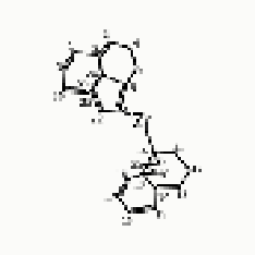 C1=CC2=CCCC3=[C]([Zr][C]4=C5CCC=C6C=CC=CC65C=C4)C=CC23C=C1